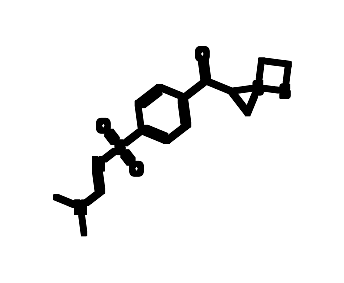 CN(C)C=NS(=O)(=O)c1ccc(C(=O)C2CS23CCS3)cc1